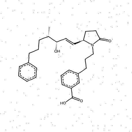 C[C@@H](CCCc1ccccc1)[C@@H](O)C=C[C@H]1CCC(=O)N1CCCc1cccc(C(=O)O)c1